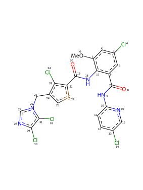 COc1cc(Cl)cc(C(=O)Nc2ccc(Cl)cn2)c1NC(=O)c1scc(Cn2cnc(Cl)c2Cl)c1Cl